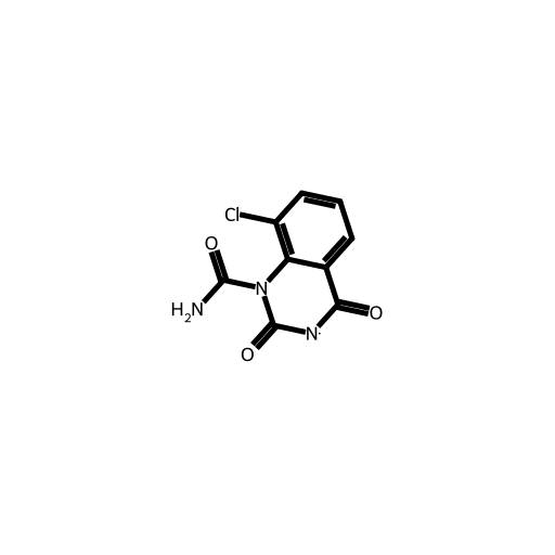 NC(=O)N1C(=O)[N]C(=O)c2cccc(Cl)c21